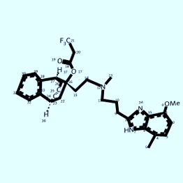 COc1ccc(C)c2[nH]c(CCCN(C)CC[C@@]3(OC(=O)CC(F)(F)F)C[C@@H]4CCC[C@H]3c3ccccc34)nc12